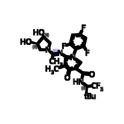 C/C(=N\c1c(C)c(=O)c(C(=O)N[C@H](C(C)(C)C)C(F)(F)F)cn1-c1c(F)cc(F)cc1F)N1C[C@@H](O)[C@H](O)C1